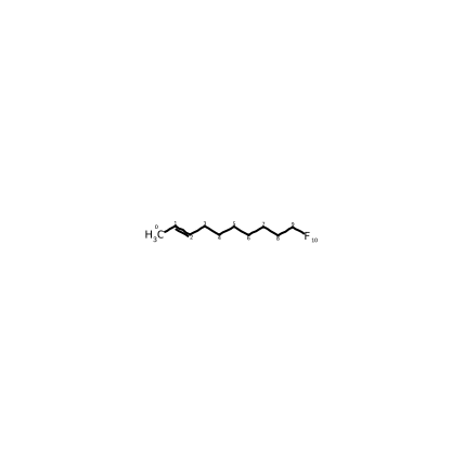 CC=CCCCCCCCF